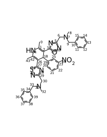 CC1=C(c2nc(CN(C)Cc3ccccc3)no2)C(c2cccc([N+](=O)[O-])c2)C(c2nc(CN(C)Cc3ccccc3)ns2)=C(C)N1